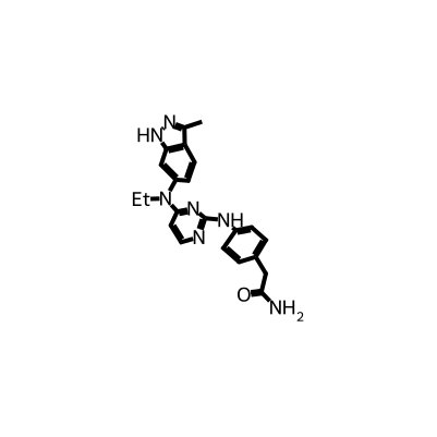 CCN(c1ccc2c(C)n[nH]c2c1)c1ccnc(Nc2ccc(CC(N)=O)cc2)n1